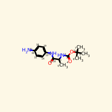 CC(NC(=O)OC(C)(C)C)C(=O)Nc1ccc(N)cc1